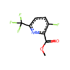 COC(=O)c1nc(C(F)(F)F)ccc1F